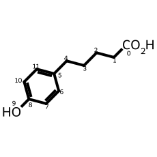 O=C(O)CCCCc1ccc(O)cc1